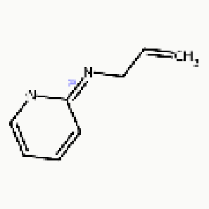 C=CC/N=C1\C=CC=C[N]1